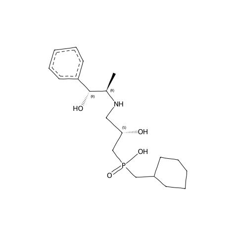 C[C@@H](NC[C@H](O)CP(=O)(O)CC1CCCCC1)[C@H](O)c1ccccc1